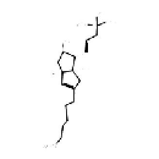 CCCC[C@](C)(O)C/C=C/[C@@H]1[C@H]2CC(CCCCCNC)=C[C@H]2C[C@H]1O